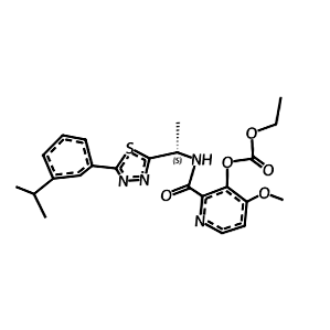 CCOC(=O)Oc1c(OC)ccnc1C(=O)N[C@@H](C)c1nnc(-c2cccc(C(C)C)c2)s1